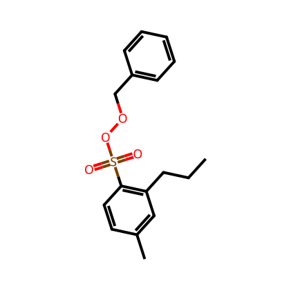 CCCc1cc(C)ccc1S(=O)(=O)OOCc1ccccc1